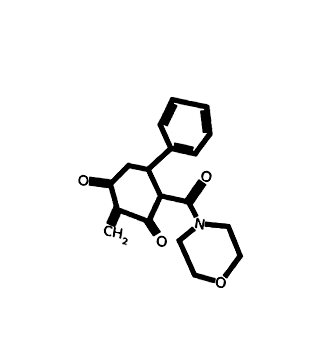 C=C1C(=O)CC(c2ccccc2)C(C(=O)N2CCOCC2)C1=O